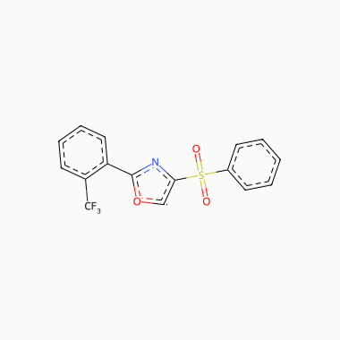 O=S(=O)(c1ccccc1)c1[c]oc(-c2ccccc2C(F)(F)F)n1